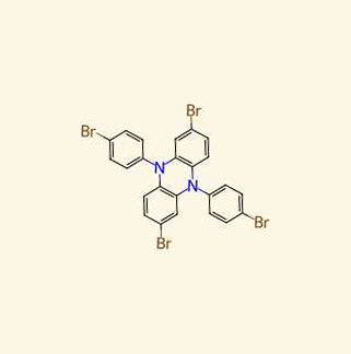 Brc1ccc(N2c3ccc(Br)cc3N(c3ccc(Br)cc3)c3ccc(Br)cc32)cc1